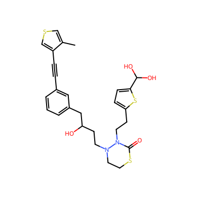 Cc1cscc1C#Cc1cccc(CC(O)CCN2CCSC(=O)N2CCc2ccc(C(O)O)s2)c1